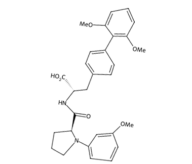 COc1cccc(N2CCC[C@H]2C(=O)N[C@@H](Cc2ccc(-c3c(OC)cccc3OC)cc2)C(=O)O)c1